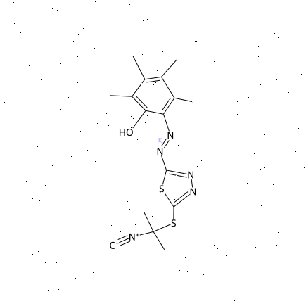 [C-]#[N+]C(C)(C)Sc1nnc(/N=N/c2c(C)c(C)c(C)c(C)c2O)s1